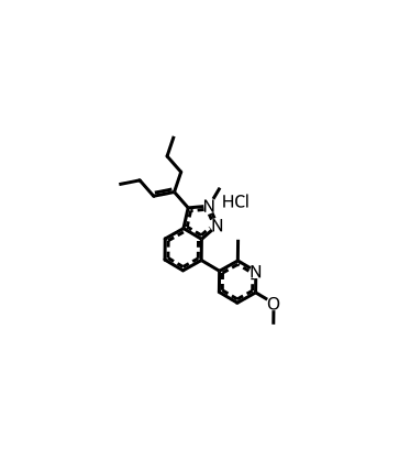 CCC=C(CCC)c1c2cccc(-c3ccc(OC)nc3C)c2nn1C.Cl